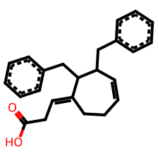 O=C(O)CC=C1CCC=CC(Cc2ccccc2)C1Cc1ccccc1